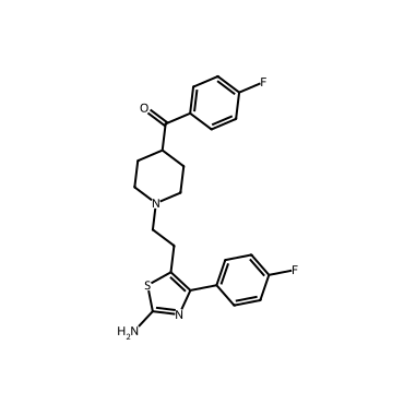 Nc1nc(-c2ccc(F)cc2)c(CCN2CCC(C(=O)c3ccc(F)cc3)CC2)s1